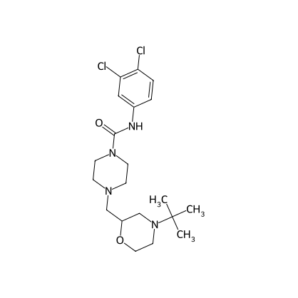 CC(C)(C)N1CCOC(CN2CCN(C(=O)Nc3ccc(Cl)c(Cl)c3)CC2)C1